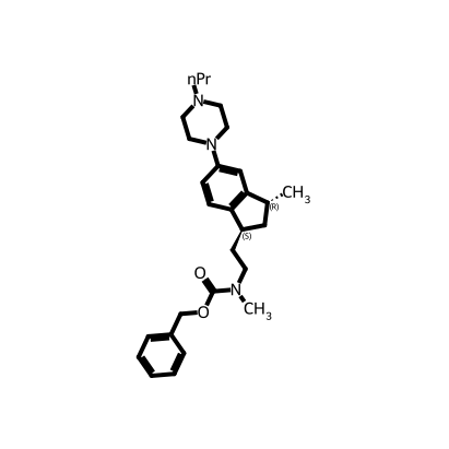 CCCN1CCN(c2ccc3c(c2)[C@H](C)C[C@H]3CCN(C)C(=O)OCc2ccccc2)CC1